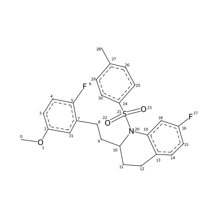 COc1ccc(F)c(CCC2CCc3ccc(F)cc3N2S(=O)(=O)c2ccc(C)cc2)c1